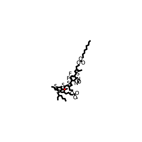 CCCCCCCCCOC(=O)OCCc1cc(-c2c(F)c(F)c(-c3cc(CCOC(=O)OC)c(-c4cc5c(s4)-c4sc(C)cc4[Si]5(CC(CC)CCCC)CC(CC)CCCC)s3)c3nonc23)sc1C